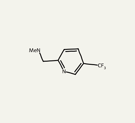 CNCc1ccc(C(F)(F)F)cn1